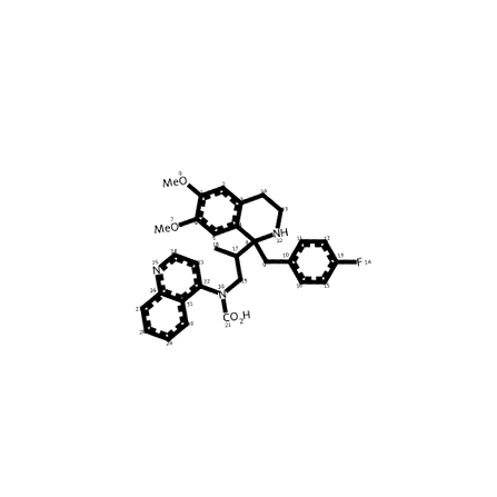 COc1cc2c(cc1OC)C(Cc1ccc(F)cc1)(C(C)[CH]N(C(=O)O)c1ccnc3ccccc13)NCC2